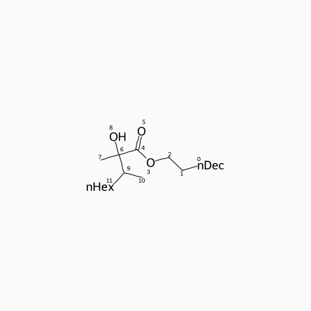 CCCCCCCCCCCCOC(=O)C(C)(O)C(C)CCCCCC